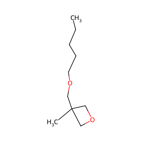 CCCCCOCC1(C)COC1